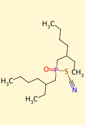 CCCCC(CC)CP(=O)(CC(CC)CCCC)SC#N